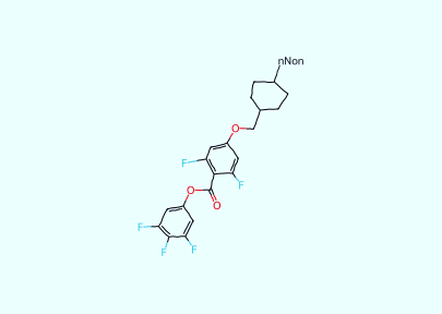 CCCCCCCCCC1CCC(COc2cc(F)c(C(=O)Oc3cc(F)c(F)c(F)c3)c(F)c2)CC1